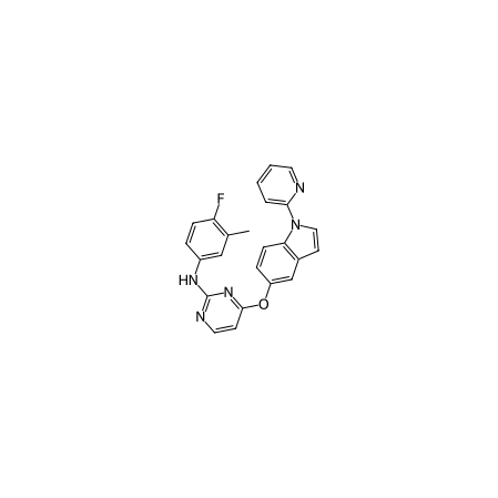 Cc1cc(Nc2nccc(Oc3ccc4c(ccn4-c4ccccn4)c3)n2)ccc1F